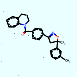 Cc1cccc(C2(C(F)(F)F)CC(c3ccc(C(=O)N4CCCc5ccccc54)cc3)=NO2)c1